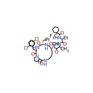 CC[C@H](NC(=O)C1(C(F)(F)F)CCCCC1)C(=O)N[C@@H](C)C(=O)N(C)[C@H]1CCCCNC(=O)[C@H]2CCCN2C(=O)C(Cc2cc(Cl)ccc2Cl)NC(=O)[C@H](CC(C)C)NC1=O